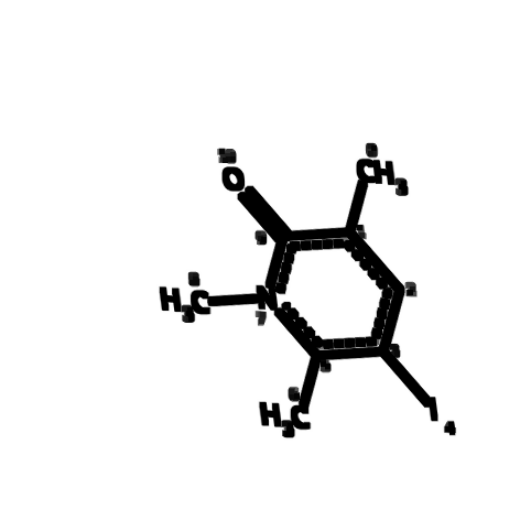 Cc1cc(I)c(C)n(C)c1=O